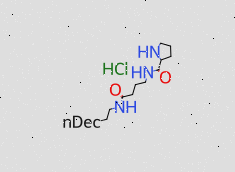 CCCCCCCCCCCCNC(=O)CCCNC(=O)C1CCCN1.Cl